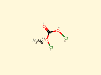 O=C(OCl)OCl.[MgH2]